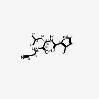 Cc1ccsc1C(=O)N[C@@H](CC(C)C)C(=O)NCC#N